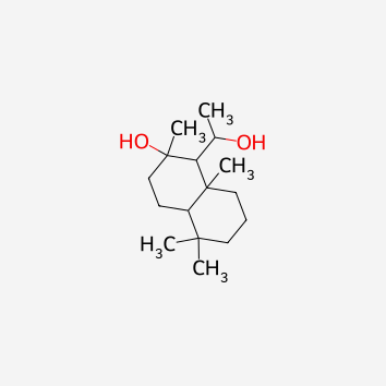 CC(O)C1C(C)(O)CCC2C(C)(C)CCCC21C